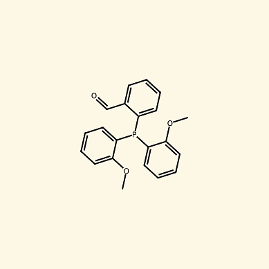 COc1ccccc1P(c1ccccc1C=O)c1ccccc1OC